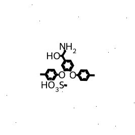 CS(=O)(=O)O.Cc1ccc(Oc2ccc(C(O)CN)cc2Oc2ccc(C)cc2)cc1